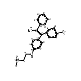 CCC(=C(c1ccc(Br)cc1)c1ccc(OCCN(C)C)cc1)c1ccccc1